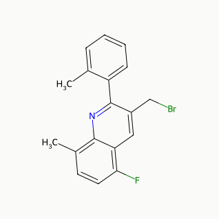 Cc1ccccc1-c1nc2c(C)ccc(F)c2cc1CBr